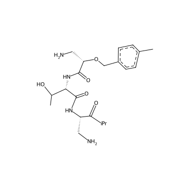 Cc1ccc(CO[C@@H](CN)C(=O)N[C@H](C(=O)N[C@@H](CN)C(=O)C(C)C)C(C)O)cc1